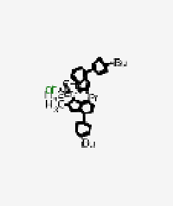 CCC(C)c1ccc(-c2cccc3c2C=C(C)[CH]3[Zr+2]([CH]2C(C(C)C)=Cc3c(-c4ccc(C(C)CC)cc4)cccc32)=[Si](C)C)cc1.[Cl-].[Cl-]